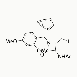 COc1ccc(CN2C(=O)C(NC(C)=O)C2CI)c(OC)c1.c1cc2cc-2c1